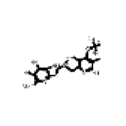 [2H]c1nc(C[S+]([O-])c2nc3nc(OC)c([2H])c([2H])c3[nH]2)c(C)c(OC([2H])([2H])[2H])c1C